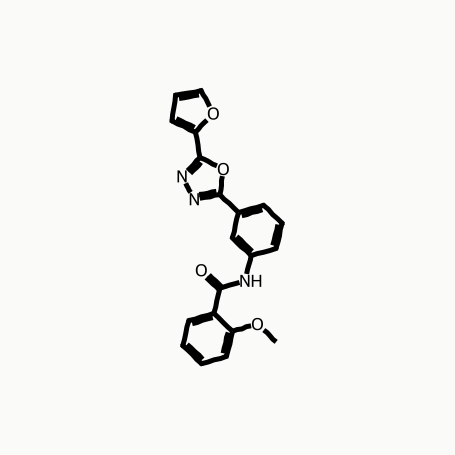 COc1ccccc1C(=O)Nc1cccc(-c2nnc(-c3ccco3)o2)c1